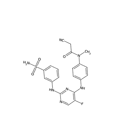 CN(C(=O)CC#N)c1ccc(Nc2nc(Nc3cccc(S(N)(=O)=O)c3)ncc2F)cc1